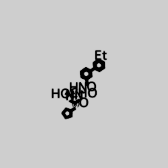 CCc1cccc(-c2cccc(C(=O)NCNC(=O)[C@H](CC3CCCC3)CN(O)C=O)c2)c1